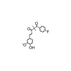 COc1cc(C=CC(=O)C(C)(C)C(=O)c2ccc(F)cc2)ccc1O